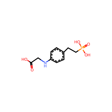 O=C(O)CNc1ccc(CCP(=O)(O)O)cc1